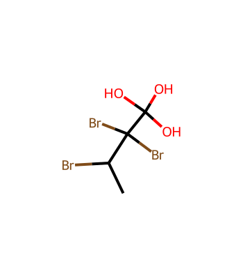 CC(Br)C(Br)(Br)C(O)(O)O